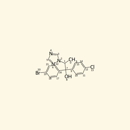 CC(n1cncn1)C(O)(c1ccc(Cl)cc1)c1ccc(Br)cc1